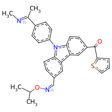 C/N=C(\C)c1ccc(-n2c3ccc(/C=N\OC(C)C)cc3c3cc(C(=O)c4cccs4)ccc32)cc1